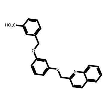 O=C(O)c1cccc(COc2cccc(SCc3ccc4ccccc4n3)c2)c1